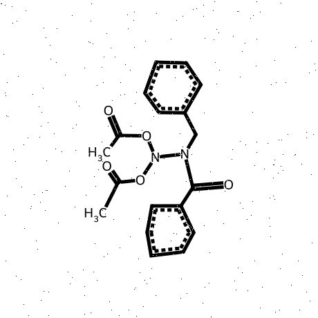 CC(=O)ON(OC(C)=O)N(Cc1ccccc1)C(=O)c1ccccc1